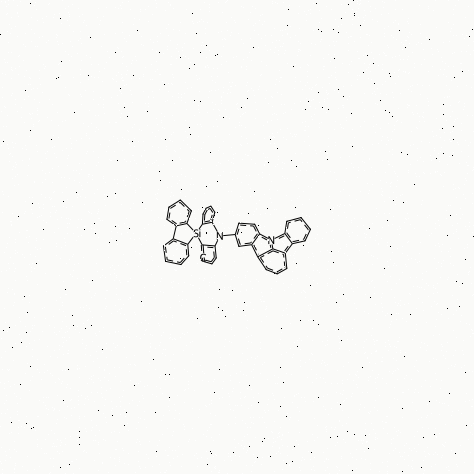 c1ccc2c(c1)-c1ccccc1[Si]21c2ccccc2N(c2ccc3c(c2)c2cccc4c5ccccc5n3c42)c2ccccc21